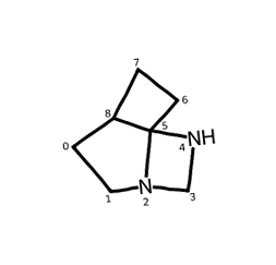 C1CN2CNC23CCC13